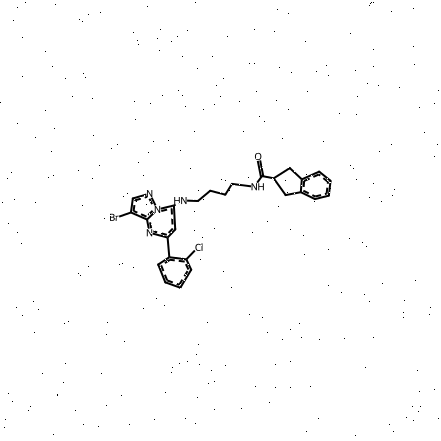 O=C(NCCCCNc1cc(-c2ccccc2Cl)nc2c(Br)cnn12)C1Cc2ccccc2C1